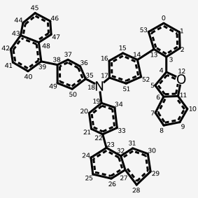 c1ccc(-c2cc3ccccc3o2)c(-c2ccc(N(c3ccc(-c4cccc5ccccc45)cc3)c3ccc(-c4cccc5ccccc45)cc3)cc2)c1